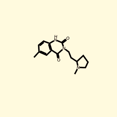 Cc1ccc2[nH]c(=O)n(CCC3CCCN3C)c(=O)c2c1